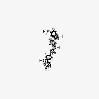 CCc1ncc(C2(O)CCC(N3CC(NC(=O)CN(CC(F)(F)F)c4n[nH]c5ccc(C(F)(F)F)cc45)C3)CC2)s1